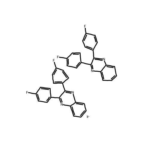 Fc1ccc(-c2nc3ccccc3nc2-c2ccc(F)cc2)cc1.Fc1ccc(-c2nc3ccccc3nc2-c2ccc(F)cc2)cc1.[Ir]